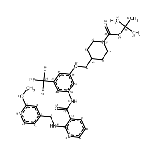 COc1cc(CNc2ncccc2C(=O)Nc2cc(OCC3CCN(C(=O)OC(C)(C)C)CC3)cc(C(F)(F)F)c2)ccn1